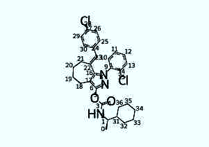 C[C@@H](NC(=O)Oc1nn(-c2ccccc2Cl)c2c1CCCC/C2=C\c1ccc(Cl)cc1)C1CCCCC1